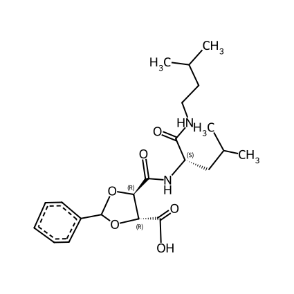 CC(C)CCNC(=O)[C@H](CC(C)C)NC(=O)[C@@H]1OC(c2ccccc2)O[C@H]1C(=O)O